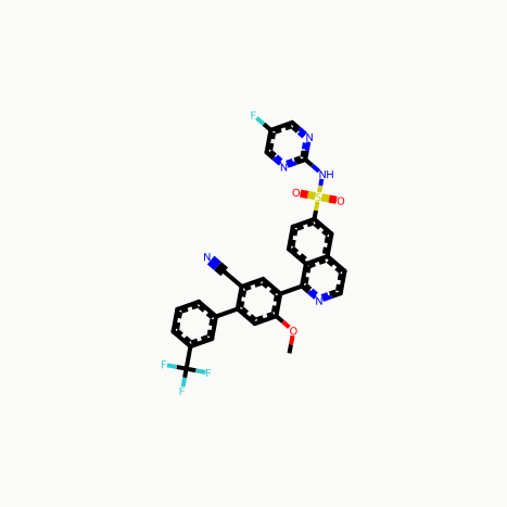 COc1cc(-c2cccc(C(F)(F)F)c2)c(C#N)cc1-c1nccc2cc(S(=O)(=O)Nc3ncc(F)cn3)ccc12